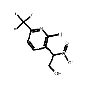 O=[N+]([O-])C(CO)c1ccc(C(F)(F)F)nc1Cl